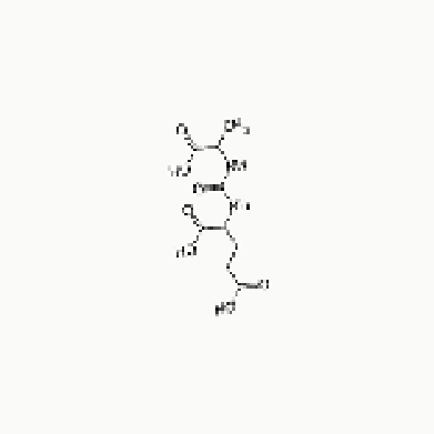 CC(NC(=O)NC(CCC(=O)O)C(=O)O)C(=O)O